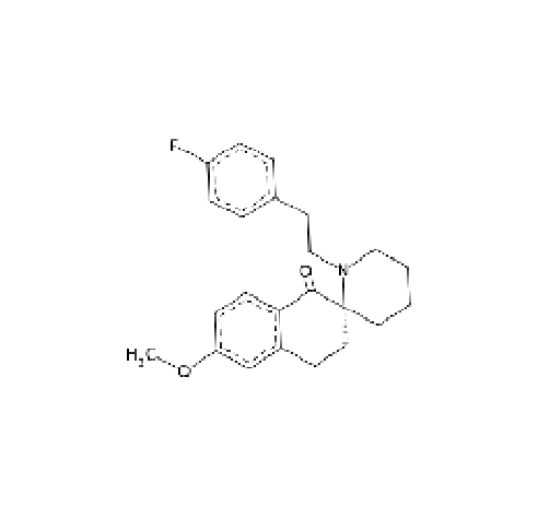 COc1ccc2c(c1)CC[C@]1(CCCCN1CCc1ccc(F)cc1)C2=O